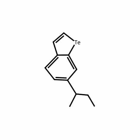 CCC(C)c1ccc2cc[te]c2c1